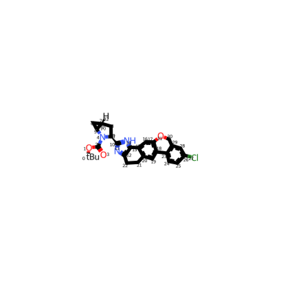 CC(C)(C)OC(=O)N1C2C[C@@H]2C[C@H]1c1nc2c([nH]1)-c1cc3c(cc1CC2)-c1ccc(Cl)cc1CO3